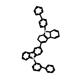 C1=CC2C3=C(CCC(c4ccc5c(c4)c4ccccc4n5-c4cccc(-c5ccccc5)c4)=C3)N(c3ccc(-c4ccccc4)cc3)C2C=C1